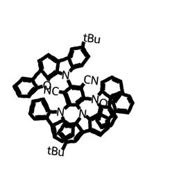 CC(C)(C)c1ccc2c(c1)c1ccc3c4ccccc4oc3c1n2-c1c(C#N)c(-n2c3ccccc3c3ccccc32)c(-n2c3ccc(C(C)(C)C)cc3c3ccc4c5ccccc5oc4c32)c(-n2c3ccccc3c3ccccc32)c1C#N